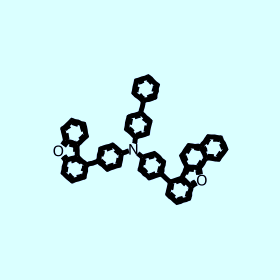 c1ccc(-c2ccc(N(c3ccc(-c4cccc5oc6ccccc6c45)cc3)c3ccc(-c4cccc5oc6c7ccccc7ccc6c45)cc3)cc2)cc1